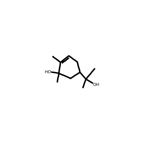 CC1=CCC(C(C)(C)O)CC1(C)O